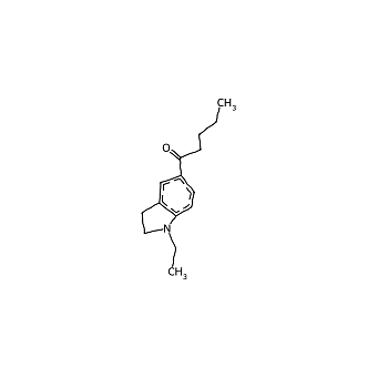 CCCCC(=O)c1ccc2c(c1)CCN2CC